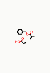 C=C(C)C(=O)OCc1ccccc1.C=CC(=O)O